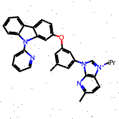 Cc1cc(Oc2ccc3c4ccccc4n(-c4ccccn4)c3c2)cc(-n2c[n+](C(C)C)c3ccc(C)nc32)c1